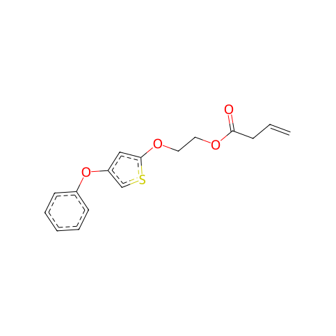 C=CCC(=O)OCCOc1cc(Oc2ccccc2)cs1